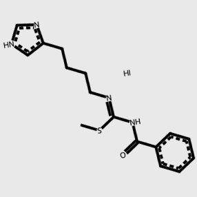 CS/C(=N\CCCCc1c[nH]cn1)NC(=O)c1ccccc1.I